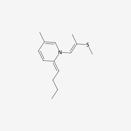 CCC/C=C1\C=CC(C)=CN1/C=C(\C)SC